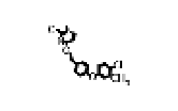 Cc1cc(Oc2ccc(CCOc3ccnc(Cl)n3)cc2)ccc1Cl